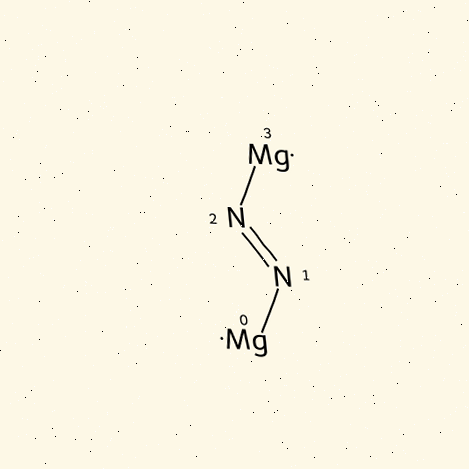 [Mg][N]=[N][Mg]